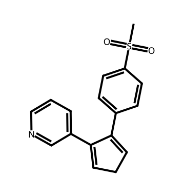 CS(=O)(=O)c1ccc(C2=CCC=C2c2cccnc2)cc1